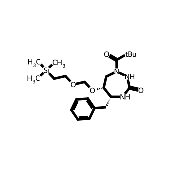 CC(C)(C)C(=O)N1C[C@@H](OCOCC[Si](C)(C)C)[C@@H](Cc2ccccc2)NC(=O)N1